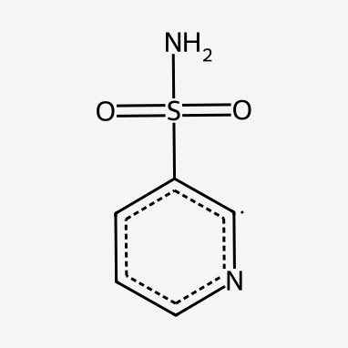 NS(=O)(=O)c1[c]nccc1